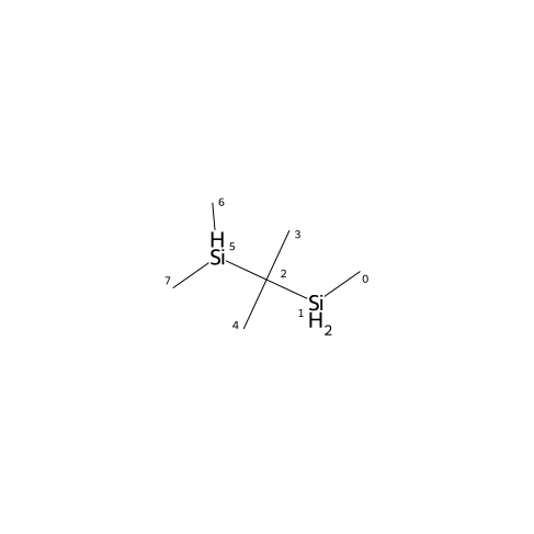 C[SiH2]C(C)(C)[SiH](C)C